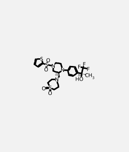 C[C@](O)(c1ccc(N2CCN(S(=O)(=O)c3cccs3)C[C@@H]2CN2CCS(=O)(=O)CC2)cc1)C(F)(F)F